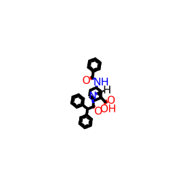 O=C(NC1CC2=CC[C@@H]1C(C(=O)O)N2C(=O)C(c1ccccc1)c1ccccc1)c1ccccc1